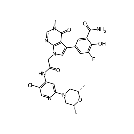 C[C@@H]1CN(c2cc(NC(=O)Cn3cc(-c4cc(F)c(O)c(C(N)=O)c4)c4c(=O)n(C)cnc43)c(Cl)cn2)C[C@H](C)O1